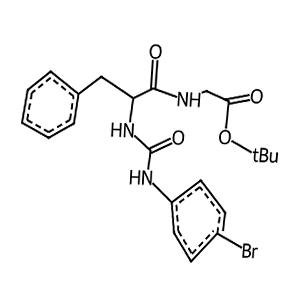 CC(C)(C)OC(=O)CNC(=O)C(Cc1ccccc1)NC(=O)Nc1ccc(Br)cc1